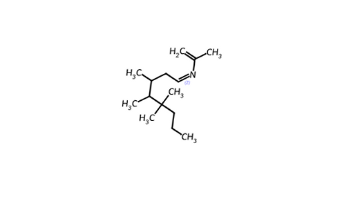 C=C(C)/N=C\CC(C)C(C)C(C)(C)CCC